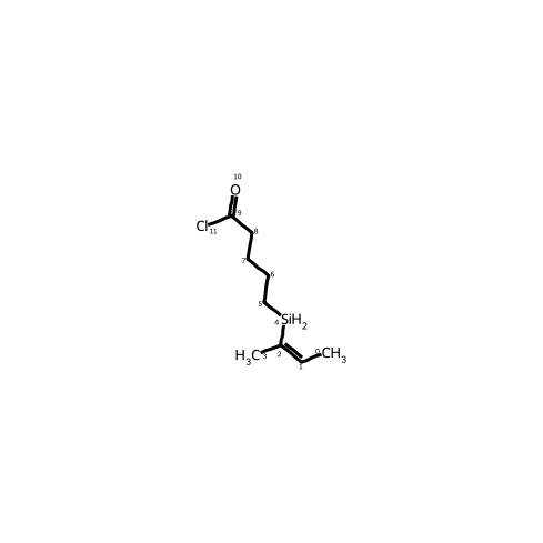 CC=C(C)[SiH2]CCCCC(=O)Cl